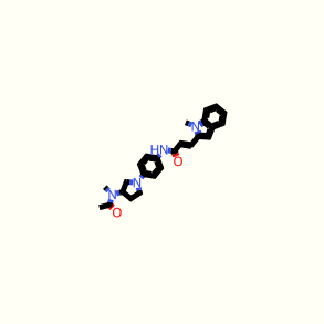 CC(=O)N(C)C1CCN(c2ccc(NC(=O)/C=C/c3cc4ccccc4n3C)cc2)C1